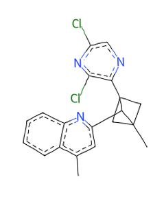 Cc1cc(C2C3(C)CC2(c2ncc(Cl)nc2Cl)C3)nc2ccccc12